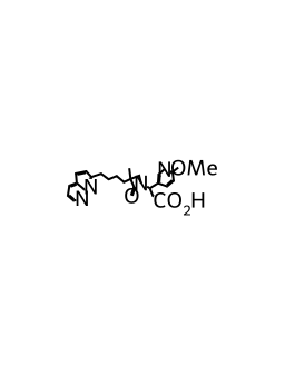 COc1ccc(C(CC(=O)O)N2CC(C)(CCCCc3ccc4cccnc4n3)C2=O)cn1